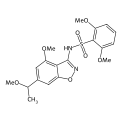 COc1cccc(OC)c1S(=O)(=O)Nc1noc2cc(C(C)OC)cc(OC)c12